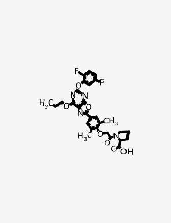 CCCOc1nc(Oc2cc(F)ccc2F)nc2oc(-c3cc(C)c(OCC(=O)N4CCCC4C(=O)O)c(C)c3)nc12